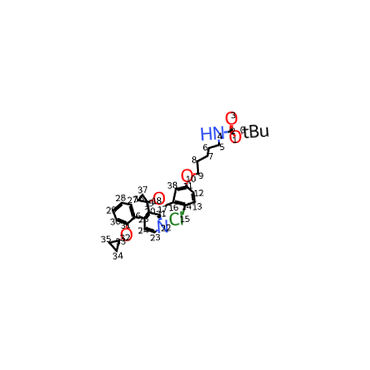 CC(C)(C)OC(=O)NCCCCCOc1ccc(Cl)c(COC2(c3cnccc3-c3ccccc3OC3CC3)CC2)c1